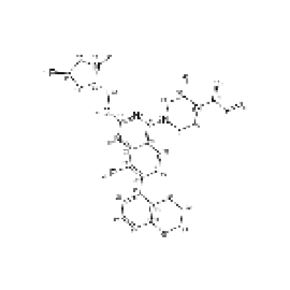 C=CC(=O)N1CCN(c2nc(OC[C@@H]3C[C@@H](F)CN3C)nc3c(F)c(-c4cccc5c4CCCC5)ccc23)C[C@@H]1C